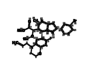 C=CCN1CCOc2cc(F)c(-c3c(C(OC(C)(C)C)C(=O)OC)c(C)nc4cc(-c5cccc(Br)c5)nn34)cc21